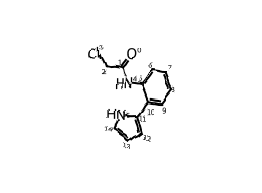 O=C(CCl)Nc1ccccc1-c1ccc[nH]1